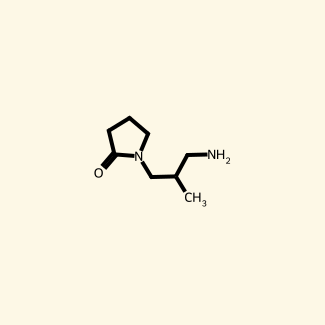 CC(CN)CN1CCCC1=O